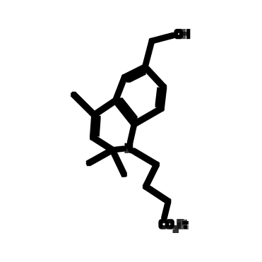 CCOC(=O)CCCN1c2ccc(CO)cc2C(C)=CC1(C)C